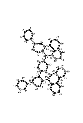 c1ccc(-c2ccc(N(c3ccc(-c4cc(-c5ccccc5)ccc4-c4cc5ccccc5c5ccccc45)cc3)c3cccc4ccccc34)cc2)cc1